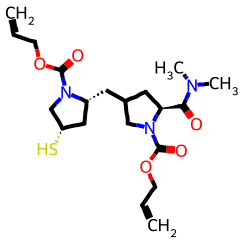 C=CCOC(=O)N1C[C@@H](S)C[C@H]1CC1C[C@@H](C(=O)N(C)C)N(C(=O)OCC=C)C1